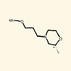 C[C@@H]1CN(CCCOC(C)(C)C)CCO1